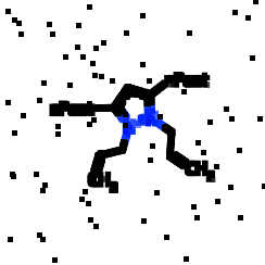 C=CCn1c(CCCCC)cc(CCCCC)[n+]1CC=C